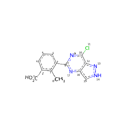 Cc1c(C(=O)O)cccc1-c1nc(Cl)c2n[nH]cc2n1